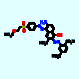 Nc1ccc2c(O)c(/N=N/c3cc(S(=O)(=O)O)ccc3S(=O)(=O)O)c(S(=O)(=O)O)cc2c1/N=N/c1ccc(S(=O)(=O)CCOS(=O)(=O)O)cc1